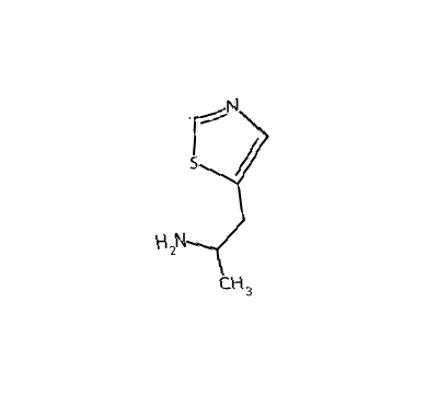 CC(N)Cc1cn[c]s1